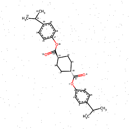 CC(C)c1ccc(OC(=O)[C@H]2CC[C@H](C(=O)Oc3ccc(C(C)C)cc3)CC2)cc1